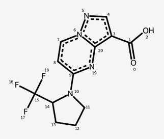 O=C(O)c1cnn2ccc(N3CCCC3C(F)(F)F)nc12